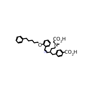 CN(CCC(/C=C\c1ccccc1OCCCCCc1ccccc1)Cc1ccc(C(=O)O)cc1)CC(=O)O